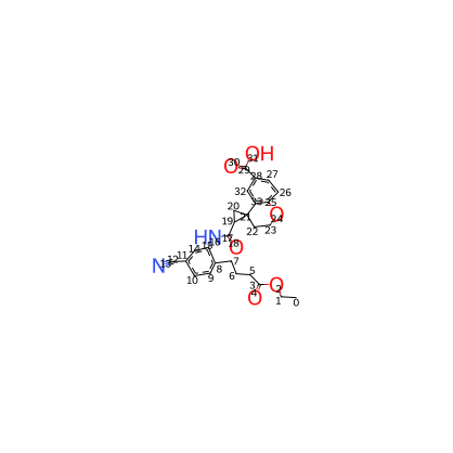 CCOC(=O)CCCc1ccc(C#N)cc1NC(=O)C1CC12CCOc1ccc(C(=O)O)cc12